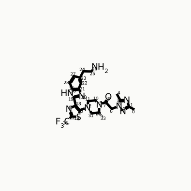 Cc1nc(C)n(CC(=O)N2CCN(c3sc(C(F)(F)F)nc3-c3nc4cc(CCN)ccc4[nH]3)C[C@H]2C)n1